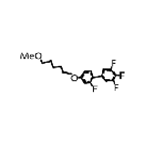 COCCCCCCOc1ccc(-c2cc(F)c(F)c(F)c2)c(F)c1